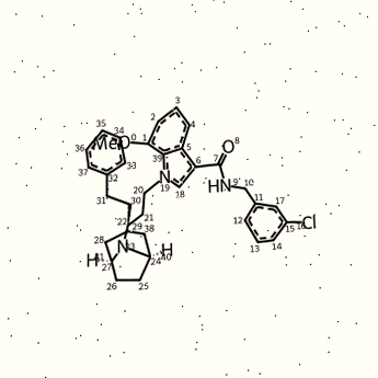 COc1cccc2c(C(=O)NCc3cccc(Cl)c3)cn(CCCN3[C@@H]4CC[C@H]3C[C@@H](CCc3ccccc3)C4)c12